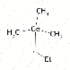 CC[CH][Ge]([CH3])([CH3])[CH3]